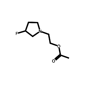 CC(=O)OCCN1CCC(F)C1